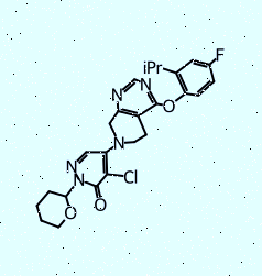 CC(C)c1cc(F)ccc1Oc1ncnc2c1CCN(c1cnn(C3CCCCO3)c(=O)c1Cl)C2